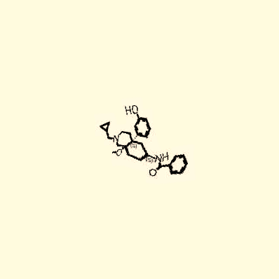 CO[C@]12CC[C@H](NC(=O)c3ccccc3)C[C@]1(c1cccc(O)c1)CCN(CC1CC1)C2